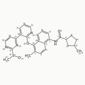 Cc1ccc2c(NC(=O)C3CCC(C)C3)cccc2c1Oc1ncccc1-c1ccnc([S+](C)[O-])n1